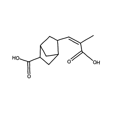 CC(=CC1CC2CC1CC2C(=O)O)C(=O)O